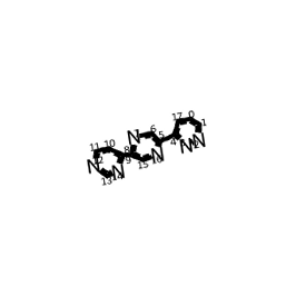 c1cnnc(-c2cnc(-c3ccncn3)cn2)c1